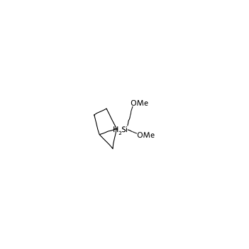 C1CC2CC12.CO[SiH2]OC